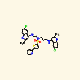 Cc1cc(NCCCN(CCNc2cc(C)nc3ccc(Cl)cc23)S(=O)(=O)c2ccc(-c3ccccn3)s2)c2cc(Cl)ccc2n1